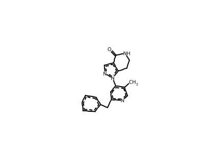 Cc1cnc(Cc2ccccc2)cc1-n1ncc2c1CCNC2=O